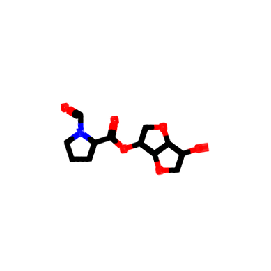 O=CN1CCCC1C(=O)OC1COC2C(O)COC12